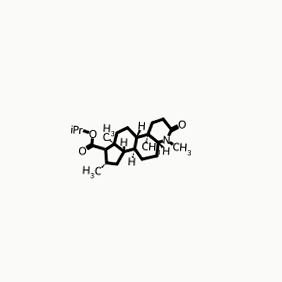 CC(C)OC(=O)C1[C@@H](C)C[C@H]2[C@@H]3CC[C@H]4N(C)C(=O)CC[C@]4(C)[C@H]3CC[C@]12C